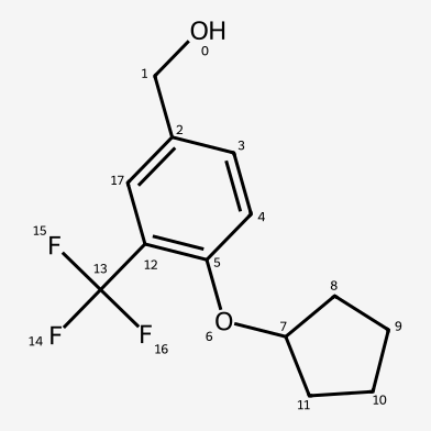 OCc1ccc(OC2CCCC2)c(C(F)(F)F)c1